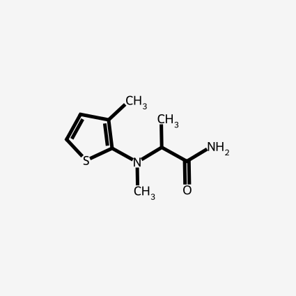 Cc1ccsc1N(C)C(C)C(N)=O